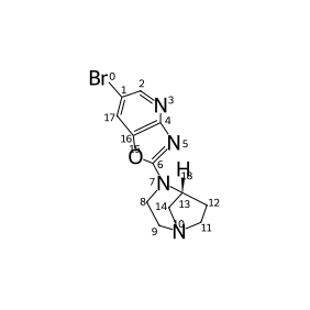 Brc1cnc2nc(N3CCN4CC[C@@H]3C4)oc2c1